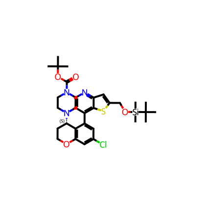 CC(C)(C)OC(=O)N1CCN([C@H]2CCOc3cc(Cl)cc(-c4ccnc5cc(CO[Si](C)(C)C(C)(C)C)sc45)c32)CC1